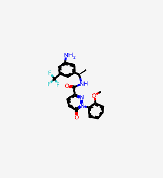 COc1ccccc1-n1nc(C(=O)N[C@H](C)c2cc(N)cc(C(F)(F)F)c2)ccc1=O